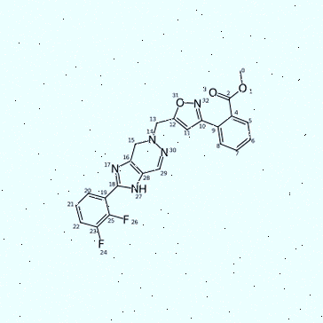 COC(=O)c1ccccc1-c1cc(CN2Cc3nc(-c4cccc(F)c4F)[nH]c3C=N2)on1